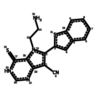 N#Cc1c(-c2cc3ccccc3s2)n(CCN)c2c(=S)[nH]cnc12